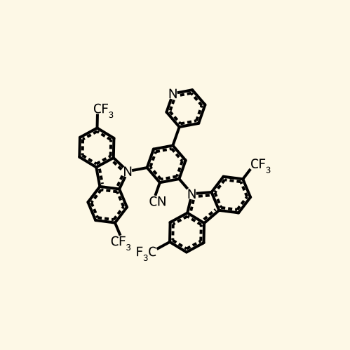 N#Cc1c(-n2c3cc(C(F)(F)F)ccc3c3ccc(C(F)(F)F)cc32)cc(-c2cccnc2)cc1-n1c2cc(C(F)(F)F)ccc2c2ccc(C(F)(F)F)cc21